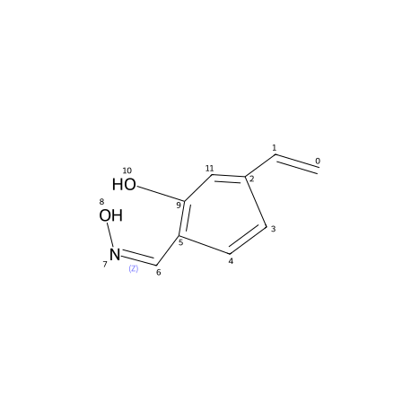 C=Cc1ccc(/C=N\O)c(O)c1